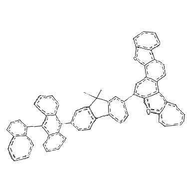 CC1(C)c2cc(-c3c4ccccc4c(-c4cccc5ccccc45)c4ccccc34)ccc2-c2ccc(-c3cc4c(ccc5c6ccccc6oc54)c4c3oc3ccccc34)cc21